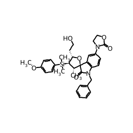 COc1ccc([Si](C)(C)[C@H]2[C@H](CCO)O[C@@]3(C(=O)N(Cc4ccccc4)c4ccc(N5CCOC5=O)cc43)[C@@H]2C)cc1